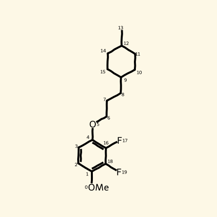 COc1ccc(OCCCC2CCC(C)CC2)c(F)c1F